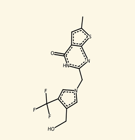 Cc1cc2c(=O)[nH]c(Cn3cc(CO)c(C(F)(F)F)c3)nc2s1